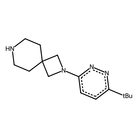 CC(C)(C)c1ccc(N2CC3(CCNCC3)C2)nn1